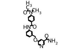 CC(=O)N(C)c1ccc(C(=O)Nc2cccc(COc3cncc(C(N)=O)c3)c2)cc1